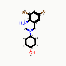 CN(Cc1cc(Br)cc(Br)c1N)[C@H]1CC[C@H](O)CC1